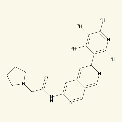 [2H]c1nc([2H])c(-c2cc3cc(NC(=O)CN4CCCC4)ncc3cn2)c([2H])c1[2H]